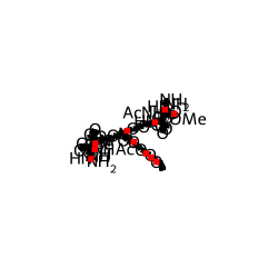 C#CCOCCOCCOCCOCCC(=O)N(CCOCCNC(=O)O[C@@H]([C@@H]1OC(C(=O)OC)=C[C@H](NC(=N)N)[C@H]1NC(C)=O)[C@H]1COC(=O)O1)CCOCCOCCNC(=O)O[C@@H]([C@@H]1OC(C(=O)OC)=C[C@H](NC(=N)N)[C@H]1NC(C)=O)[C@H]1COC(=O)O1